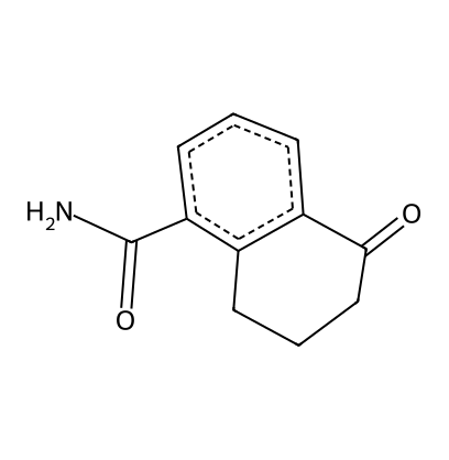 NC(=O)c1cccc2c1CCCC2=O